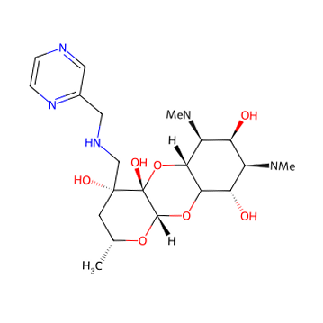 CN[C@@H]1[C@H](O)[C@H](NC)[C@H]2O[C@]3(O)[C@H](OC2[C@H]1O)O[C@H](C)C[C@@]3(O)CNCc1cnccn1